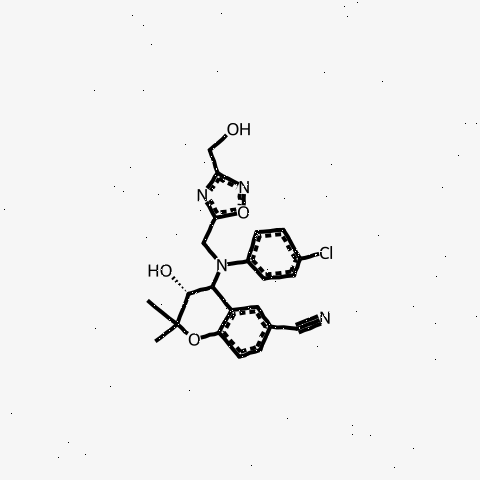 CC1(C)Oc2ccc(C#N)cc2C(N(Cc2nc(CO)no2)c2ccc(Cl)cc2)[C@H]1O